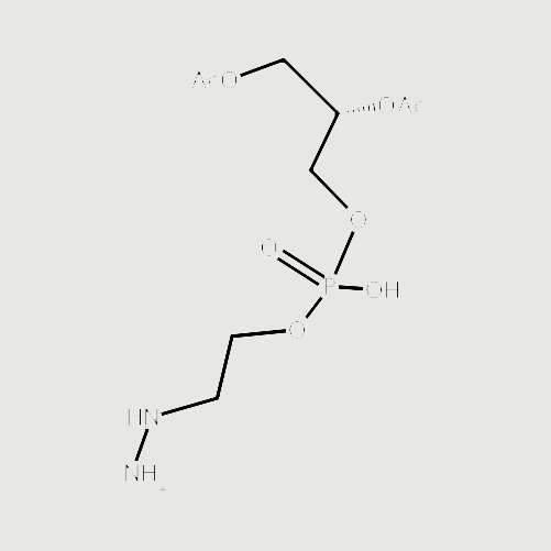 CC(=O)OC[C@@H](COP(=O)(O)OCCNN)OC(C)=O